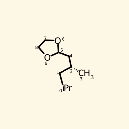 CC(C)C[C@@H](C)CC1OCCO1